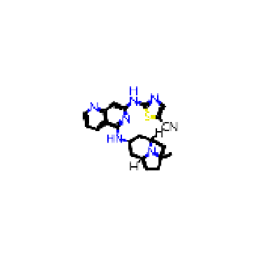 CC12CC[C@@H]3C[C@@H](Nc4nc(Nc5ncc(C#N)s5)cc5ncccc45)C[C@H](C1)N32